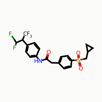 O=C(Cc1ccc(S(=O)(=O)CC2CC2)cc1)Nc1ccc(C(C(F)F)C(F)(F)F)cc1